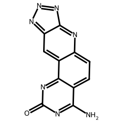 NC1=NC(=O)N=c2c1ccc1nc3c(cc21)=NN=N3